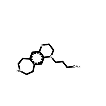 COCCCN1CCOc2cc3c(cc21)CCNCC3